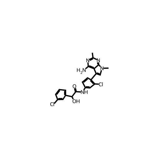 Cc1nc(N)c2c(-c3ccc(NC(=O)C(O)c4cccc(Cl)c4)cc3Cl)cn(C)c2n1